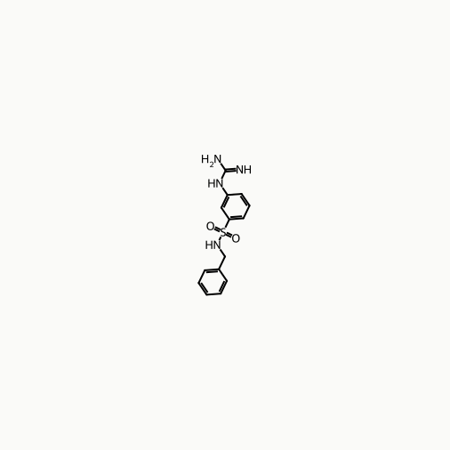 N=C(N)Nc1cccc(S(=O)(=O)NCc2ccccc2)c1